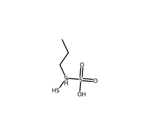 CCC[SiH](S)S(=O)(=O)O